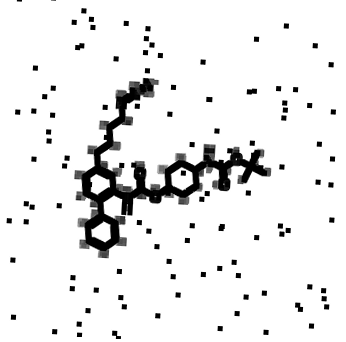 CC(C)(C)OC(=O)NC1CCC(OC(=O)Nc2cc(CCCCN=[N+]=[N-])ccc2-c2ccccc2)CC1